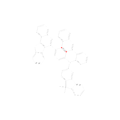 CC1(C)c2ccccc2-c2cc(N(c3ccc(-c4cc5ccccc5c5oc6ccccc6c45)cc3)c3ccccc3-c3ccc4ccccc4c3)ccc21